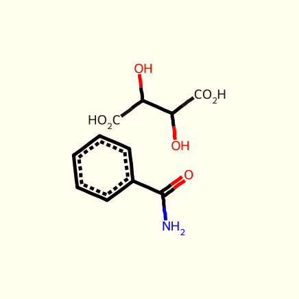 NC(=O)c1ccccc1.O=C(O)C(O)C(O)C(=O)O